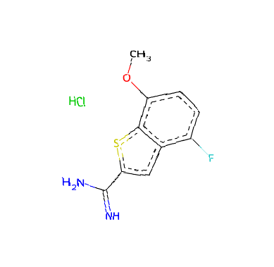 COc1ccc(F)c2cc(C(=N)N)sc12.Cl